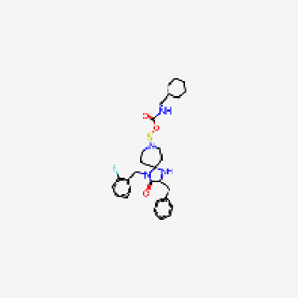 O=C(NCC1CCCCC1)OSN1CCC2(CC1)NC(Cc1ccccc1)C(=O)N2Cc1ccccc1F